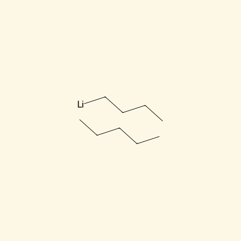 CCCCC.[Li][CH2]CCC